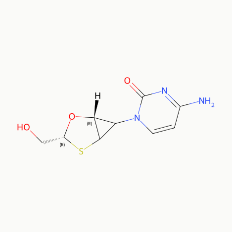 Nc1ccn(C2C3S[C@H](CO)O[C@@H]32)c(=O)n1